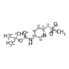 CC(C)(C)OC(=O)Nc1ccc(CS(C)(=O)=O)nc1